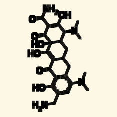 CN(C)c1cc(CN)c(O)c2c1CC1CC3[C@H](N(C)C)C(O)=C(C(N)=O)C(=O)[C@@]3(O)C(O)=C1C2=O